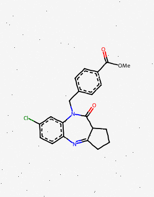 COC(=O)c1ccc(CN2C(=O)C3CCCC3=Nc3ccc(Cl)cc32)cc1